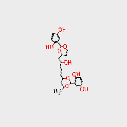 CC1CC(CCCC(O)CC2CCOC(c3cc(O)ccc3O)O2)OC(c2cc(O)ccc2O)O1